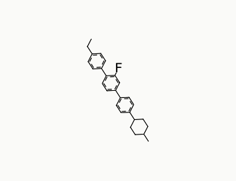 CCc1ccc(-c2ccc(-c3ccc(C4CCC(C)CC4)cc3)cc2F)cc1